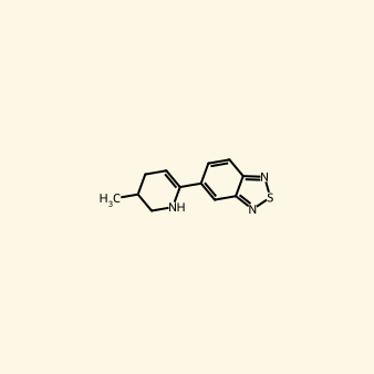 CC1CC=C(c2ccc3nsnc3c2)NC1